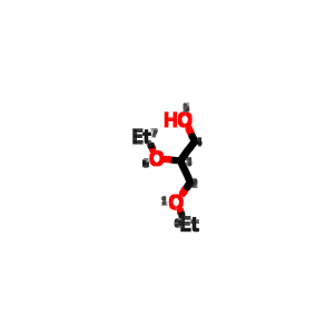 CCOCC(CO)OCC